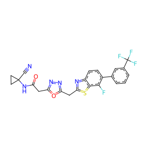 N#CC1(NC(=O)Cc2nnc(Cc3nc4ccc(-c5cccc(C(F)(F)F)c5)c(F)c4s3)o2)CC1